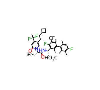 Cc1cc(F)c(C)c(C)c1-c1cc(C(F)(F)F)c(F)c([C@H](CC(=O)O)NC(=O)[C@H](CC(C)C)n2cc(CCC3CCC3)c(C(C)(F)F)cc2=O)c1C